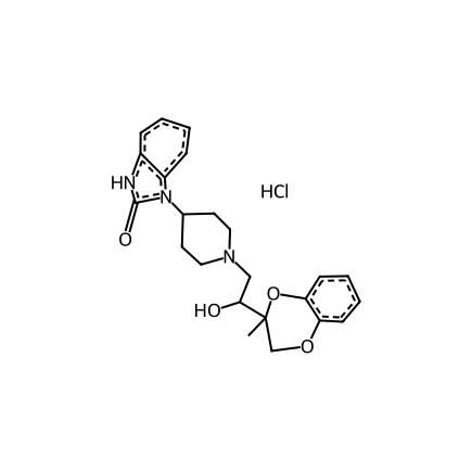 CC1(C(O)CN2CCC(n3c(=O)[nH]c4ccccc43)CC2)COc2ccccc2O1.Cl